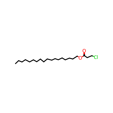 CCCCCCCCCCCCCCCCCCOC(=O)CCCl